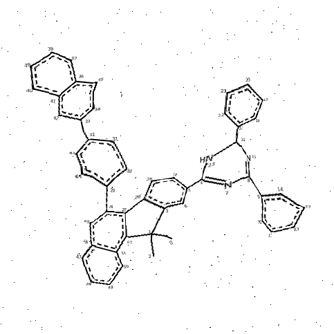 CC1(C)c2cc(C3=NC(c4ccccc4)=NC(c4ccccc4)N3)ccc2-c2c(-c3ccc(-c4ccc5ccccc5c4)cc3)cc3ccccc3c21